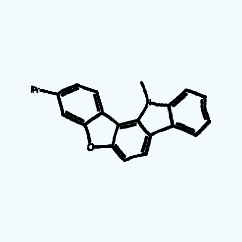 CC(C)c1ccc2c(c1)oc1ccc3c4ccccc4n(C)c3c12